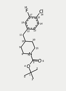 CC(C)(C)OC(=O)N1CCC(Cc2ccc(Cl)c(F)c2)CC1